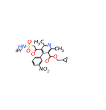 Cc1nc(C)c(C(=O)OCC2CC2)c(-c2cccc([N+](=O)[O-])c2)c1C(=O)CS(=O)(=O)NC(C)C